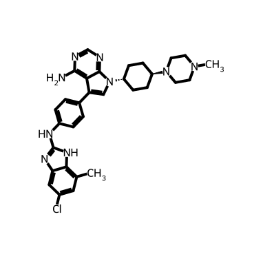 Cc1cc(Cl)cc2nc(Nc3ccc(-c4cn([C@H]5CC[C@H](N6CCN(C)CC6)CC5)c5ncnc(N)c45)cc3)[nH]c12